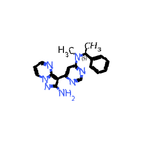 C[C@@H](c1ccccc1)N(C)c1cc(-c2c(N)nn3cccnc23)ncn1